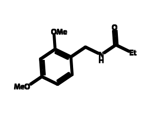 CCC(=O)NCc1ccc(OC)cc1OC